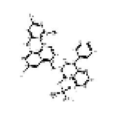 CC(C)(C)OC(=O)[C@H](Cc1ccc(-c2c(Cl)cc(F)cc2Cl)c2ncc(F)cc12)N=C(c1ccccc1)c1ccccc1